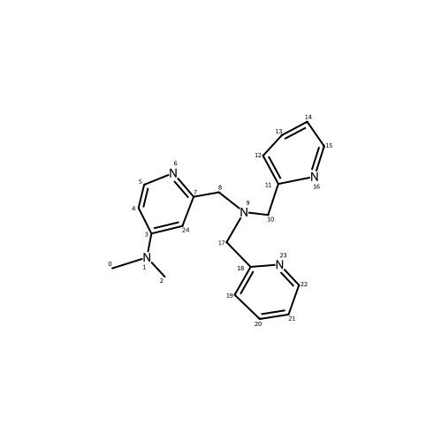 CN(C)c1ccnc(CN(Cc2ccccn2)Cc2ccccn2)c1